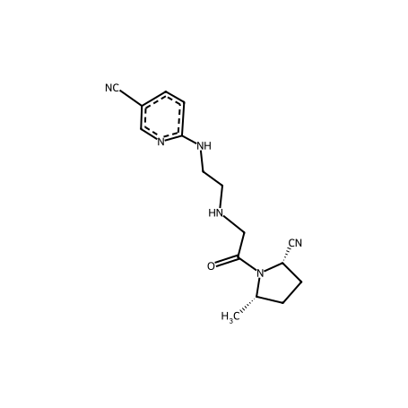 C[C@H]1CC[C@@H](C#N)N1C(=O)CNCCNc1ccc(C#N)cn1